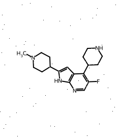 CN1CCC(c2cc3c(C4CCNCC4)c(F)cnc3[nH]2)CC1